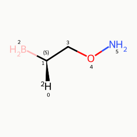 [2H][C@@H](B)CON